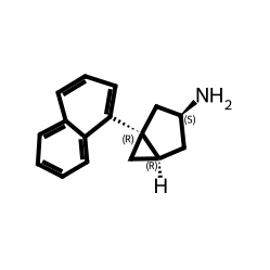 N[C@H]1C[C@H]2C[C@@]2(c2cccc3ccccc23)C1